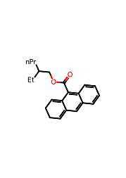 CCCC(CC)COC(=O)c1c2c(cc3ccccc13)=CCCC=2